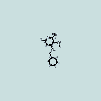 COc1c(OCc2ccccc2)cc(C)nc1Br